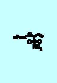 C=CC(OCCCCC)S(N)(=O)=O